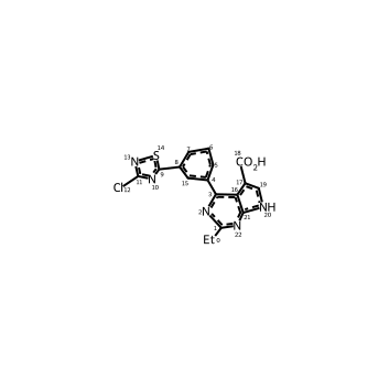 CCc1nc(-c2cccc(-c3nc(Cl)ns3)c2)c2c(C(=O)O)c[nH]c2n1